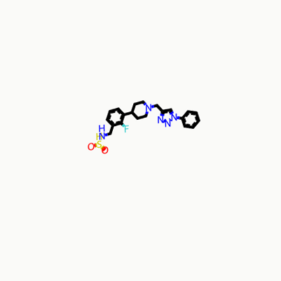 O=[SH](=O)NCc1cccc(C2CCN(Cc3cn(-c4ccccc4)nn3)CC2)c1F